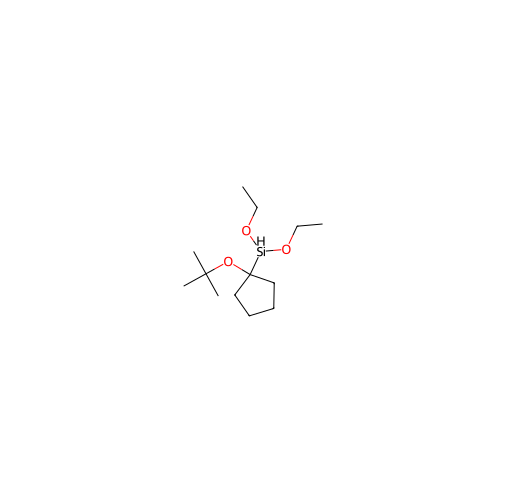 CCO[SiH](OCC)C1(OC(C)(C)C)CCCC1